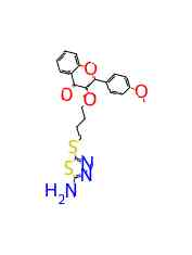 COc1ccc(C2Oc3ccccc3C(=O)C2OCCCCSc2nnc(N)s2)cc1